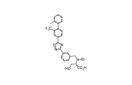 CCN(Cc1cccc(-c2noc(-c3ccc(-c4ccccc4C)c(C(F)(F)F)c3)n2)c1)[C@H](CO)C(=O)O